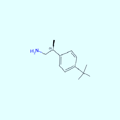 C[C@H](CN)c1ccc(C(C)(C)C)cc1